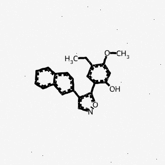 CCc1cc(-c2oncc2-c2ccc3ccccc3c2)c(O)cc1OC